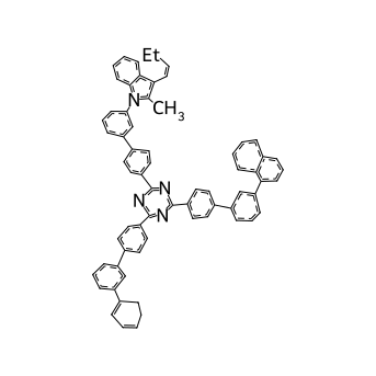 CC/C=C\c1c(C)n(-c2cccc(-c3ccc(-c4nc(-c5ccc(-c6cccc(C7=CC=CCC7)c6)cc5)nc(-c5ccc(-c6cccc(-c7cccc8ccccc78)c6)cc5)n4)cc3)c2)c2ccccc12